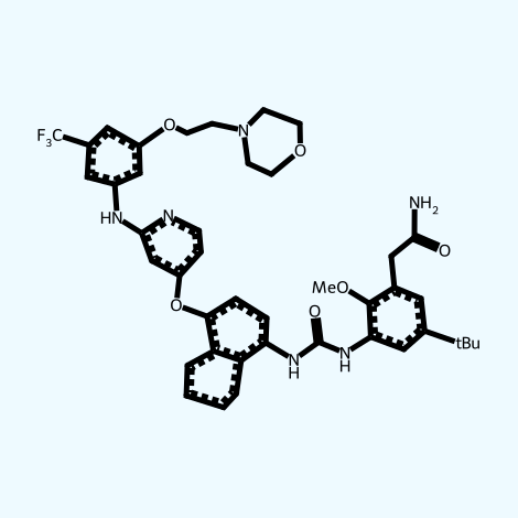 COc1c(CC(N)=O)cc(C(C)(C)C)cc1NC(=O)Nc1ccc(Oc2ccnc(Nc3cc(OCCN4CCOCC4)cc(C(F)(F)F)c3)c2)c2ccccc12